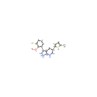 COc1c(F)cccc1-c1c[nH]c2ncc(-c3ccc(Cl)s3)cc12